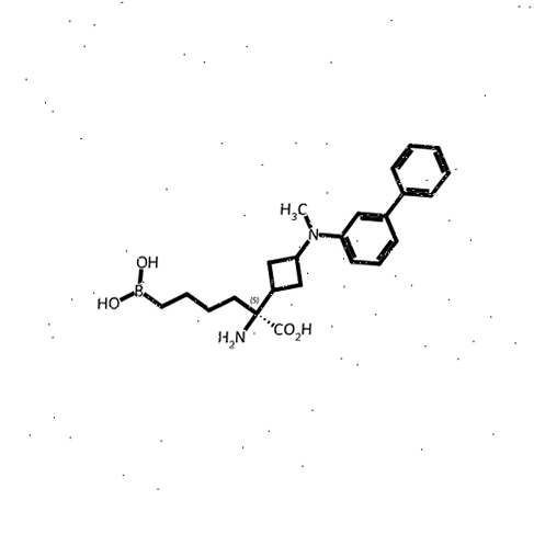 CN(c1cccc(-c2ccccc2)c1)C1CC([C@@](N)(CCCCB(O)O)C(=O)O)C1